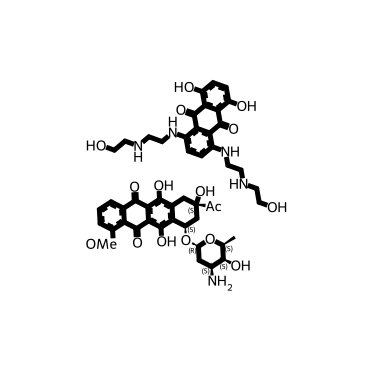 COc1cccc2c1C(=O)c1c(O)c3c(c(O)c1C2=O)C[C@@](O)(C(C)=O)C[C@@H]3O[C@H]1C[C@H](N)[C@H](O)[C@H](C)O1.O=C1c2c(O)ccc(O)c2C(=O)c2c(NCCNCCO)ccc(NCCNCCO)c21